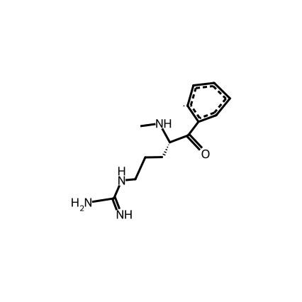 CN[C@@H](CCCNC(=N)N)C(=O)c1[c]cccc1